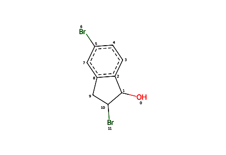 OC1c2ccc(Br)cc2CC1Br